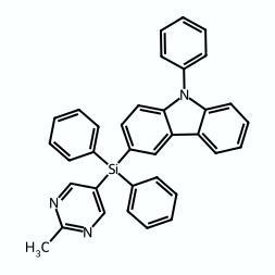 Cc1ncc([Si](c2ccccc2)(c2ccccc2)c2ccc3c(c2)c2ccccc2n3-c2ccccc2)cn1